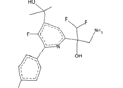 CC(C)(O)c1cc(C(O)(CN)C(F)F)nc(-c2ccc(F)cc2)c1F